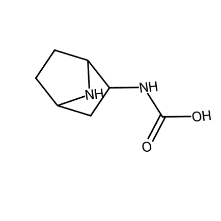 O=C(O)NC1CC2CCC1N2